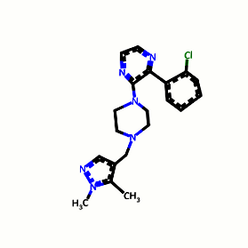 Cc1c(CN2CCN(c3nccnc3-c3ccccc3Cl)CC2)cnn1C